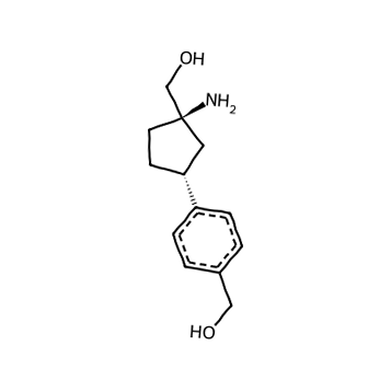 N[C@]1(CO)CC[C@@H](c2ccc(CO)cc2)C1